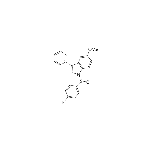 COc1ccc2c(c1)c(-c1ccccc1)cn2[S+]([O-])c1ccc(F)cc1